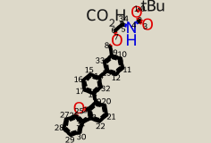 CC(C)(C)OC(=O)NC(COCc1cccc(-c2cccc(-c3cccc4c3oc3ccccc34)c2)c1)C(=O)O